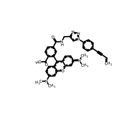 C=CC#Cc1ccc(-n2cc(CNC(=O)c3ccc(C(=O)O)c(-c4c5ccc(=[N+](C)C)cc-5oc5cc(N(C)C)ccc45)c3)nn2)cc1